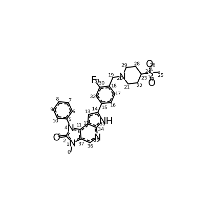 Cn1c(=O)n(-c2ccccc2)c2c3cc(-c4ccc(CN5CCC(S(C)(=O)=O)CC5)c(F)c4)[nH]c3ncc21